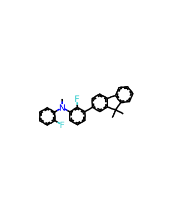 CN(c1ccccc1F)c1cccc(-c2ccc3c(c2)C(C)(C)c2ccccc2-3)c1F